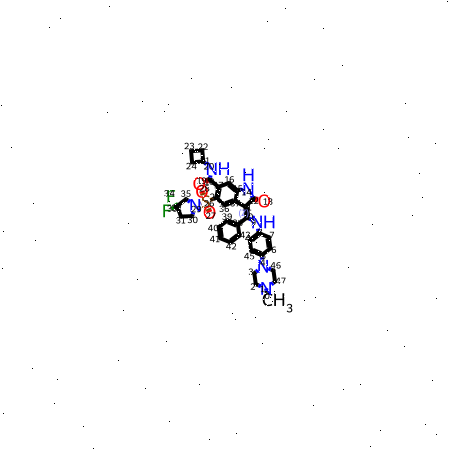 CN1CCN(c2ccc(N/C(=C3\C(=O)Nc4cc(C(=O)NC5CCC5)c(S(=O)(=O)N5CCC(F)(F)C5)cc43)c3ccccc3)cc2)CC1